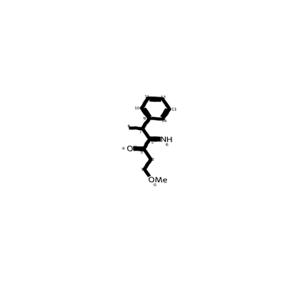 COCCC(=O)C(=N)C(C)c1ccccc1